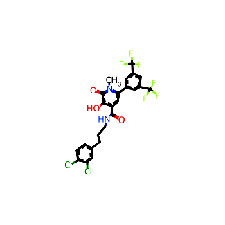 Cn1c(-c2cc(C(F)(F)F)cc(C(F)(F)F)c2)cc(C(=O)NCCCc2ccc(Cl)c(Cl)c2)c(O)c1=O